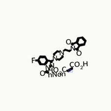 CCCCCCCCCC(=O)n1nc(N2CCN(CCN3C(=O)c4ccccc4C3=O)CC2)c2ccc(F)cc21.O=C(O)/C=C\C(=O)O